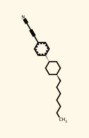 CCCCCCC[C@H]1CC[C@H](c2ccc(C#CC#N)cc2)CC1